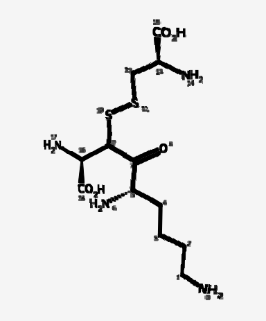 NCCCC[C@H](N)C(=O)C(SSC[C@H](N)C(=O)O)[C@H](N)C(=O)O